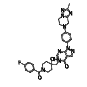 Cc1nc2n(n1)CCN(c1ccc(-n3ncc4c(=O)n(CC5(O)CCN(C(=O)c6ccc(F)cc6)CC5)cnc43)cc1)C2